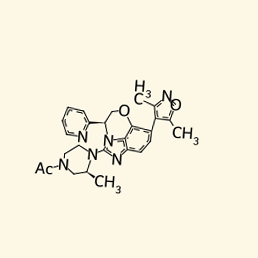 CC(=O)N1CCN(c2nc3ccc(-c4c(C)noc4C)c4c3n2[C@@H](c2ccccn2)CO4)[C@@H](C)C1